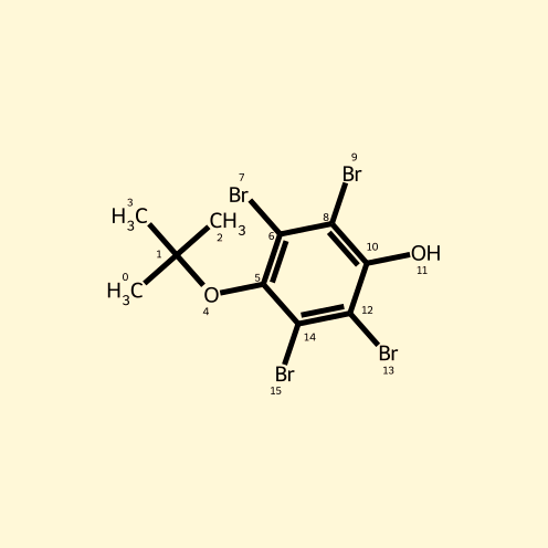 CC(C)(C)Oc1c(Br)c(Br)c(O)c(Br)c1Br